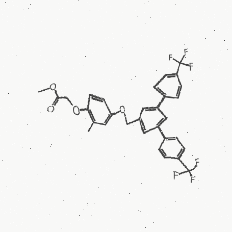 COC(=O)COc1ccc(OCc2cc(-c3ccc(C(F)(F)F)cc3)cc(-c3ccc(C(F)(F)F)cc3)c2)cc1C